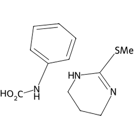 CSC1=NCCCN1.O=C(O)Nc1ccccc1